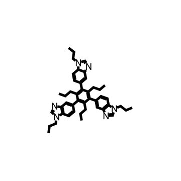 CCCc1c(C2=CC3N=CN(CCC)C3C=C2)c(CCC)c(-c2ccc3c(c2)ncn3CCC)c(CCC)c1-c1ccc2c(c1)ncn2CCC